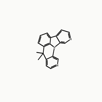 CC1(C)c2ccncc2-n2c3cnccc3c3cccc1c32